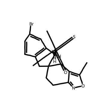 Cc1onc2c1CC1(CC2)Cc2ccc(Br)cc2C12NC(=S)NC2=O